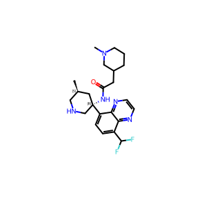 C[C@@H]1CNC[C@](NC(=O)CC2CCCN(C)C2)(c2ccc(C(F)F)c3nccnc23)C1